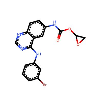 O=C(Nc1ccc2ncnc(Nc3cccc(Br)c3)c2c1)OC1CO1